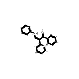 O=C(/C(=C\Nc1ccccc1)c1ccccn1)c1ccccc1